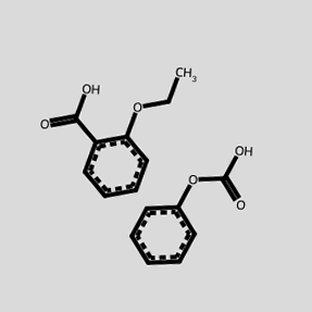 CCOc1ccccc1C(=O)O.O=C(O)Oc1ccccc1